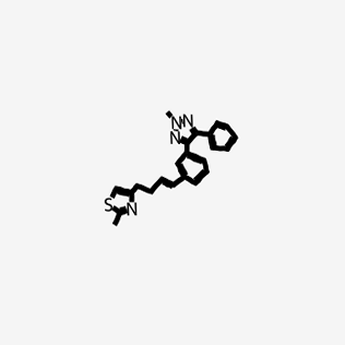 Cc1nc(CC/C=C/c2cccc(-c3nn(C)nc3-c3ccccc3)c2)cs1